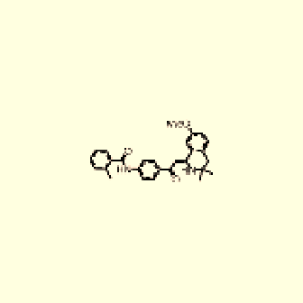 COc1ccc2c(c1)C(=CC(=O)c1ccc(NC(=O)c3ccccc3C)cc1)NC(C)(C)C2